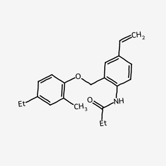 C=Cc1ccc(NC(=O)CC)c(COc2ccc(CC)cc2C)c1